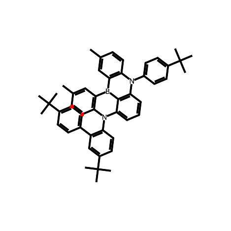 Cc1ccc2c(c1)B1c3cc(C)ccc3N(c3ccc(C(C)(C)C)cc3-c3ccc(C(C)(C)C)cc3)c3cccc(c31)N2c1ccc(C(C)(C)C)cc1